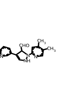 Cc1cnc(N2NC=C(c3cccnc3)C2C=O)cc1C